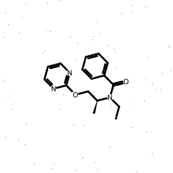 CCN(C(=O)c1ccccc1)[C@@H](C)COc1ncccn1